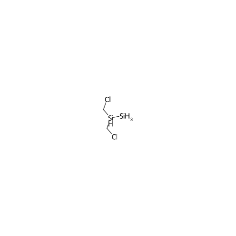 [SiH3][SiH](CCl)CCl